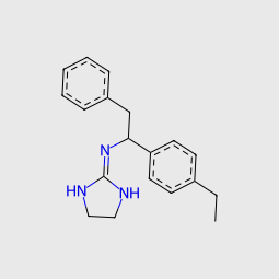 CCc1ccc(C(Cc2ccccc2)N=C2NCCN2)cc1